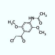 COc1cc(C(=O)CCl)c(OC)cc1NC(C)=O